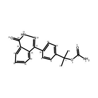 CC(C)(OC(N)=O)c1ccc(-c2n[nH]c(=O)c3ccccc23)cc1